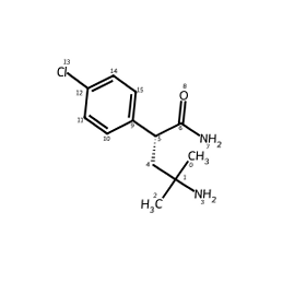 CC(C)(N)C[C@@H](C(N)=O)c1ccc(Cl)cc1